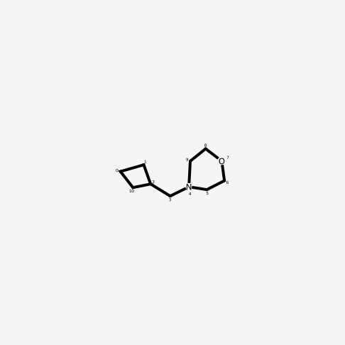 C1CC(CN2CCOCC2)C1